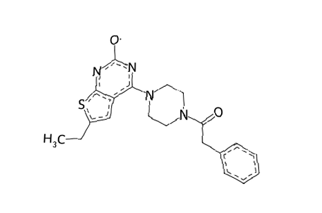 CCc1cc2c(N3CCN(C(=O)Cc4ccccc4)CC3)nc([O])nc2s1